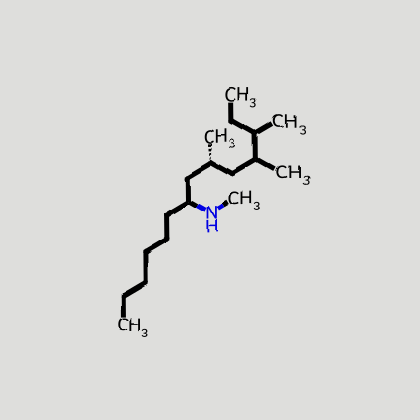 CCCCCCC(C[C@H](C)CC(C)C(C)CC)NC